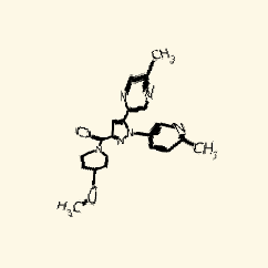 COC1CCN(C(=O)c2cc(-c3cnc(C)cn3)n(-c3ccc(C)nc3)n2)CC1